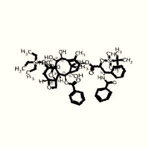 CC[Si](CC)(CC)OC1C[C@H]2OC[C@@]2(OC(C)=O)[C@H]2[C@H](OC(=O)c3ccccc3)[C@]3(O)C[C@H](OC(=O)C(O[Si](C)(C)C(C)(C)C)[C@@H](NC(=O)c4ccccc4)c4ccccc4)C(C)=C([C@H](O)[C@H](O)[C@]12C)C3(C)C